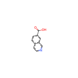 O=C(O)c1ccc2ccncc2c1